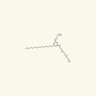 CCCCCCCCCCCCCCCc1cc(OCCO)cc(OCCOCCOCCOC)c1